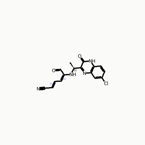 C[C@H](N/C(C=O)=C/C=C/C#N)c1nc2cc(Cl)ccc2[nH]c1=O